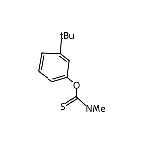 CNC(=S)Oc1cccc(C(C)(C)C)c1